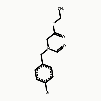 CCOC(=O)CN(C=O)Cc1ccc(Br)cc1